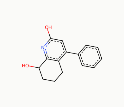 Oc1cc(-c2ccccc2)c2c(n1)C(O)CCC2